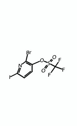 O=S(=O)(Oc1ccc(I)nc1Br)C(F)(F)F